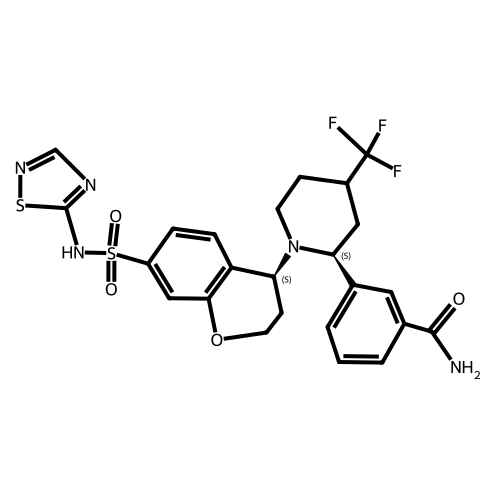 NC(=O)c1cccc([C@@H]2CC(C(F)(F)F)CCN2[C@H]2CCOc3cc(S(=O)(=O)Nc4ncns4)ccc32)c1